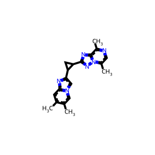 Cc1cc2nc(C3CC3c3nc4c(C)ncc(C)n4n3)cn2cc1C